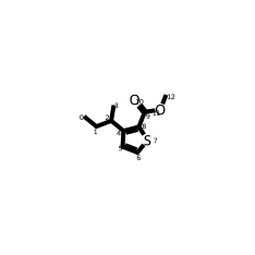 CCC(C)c1ccsc1C(=O)OC